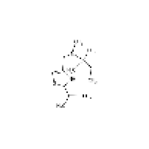 CCC(C)(C)N(C)CC1=CSC(C(C)C)N1